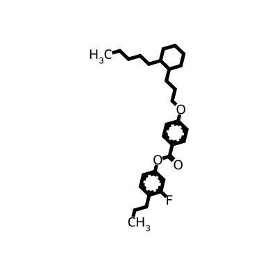 CCCCCC1CCCCC1CCCOc1ccc(C(=O)Oc2ccc(CCC)c(F)c2)cc1